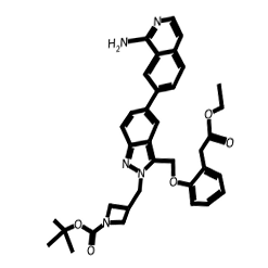 CCOC(=O)Cc1ccccc1OCc1c2cc(-c3ccc4ccnc(N)c4c3)ccc2nn1CC1CN(C(=O)OC(C)(C)C)C1